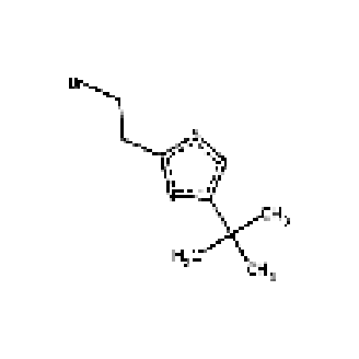 CC(C)(C)c1csc(CCBr)n1